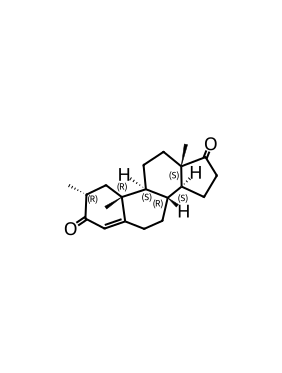 C[C@@H]1C[C@@]2(C)C(=CC1=O)CC[C@@H]1[C@@H]2CC[C@]2(C)C(=O)CC[C@@H]12